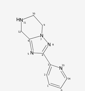 c1ccc(-c2nc3n(n2)CCNC3)nc1